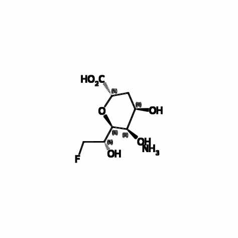 N.O=C(O)[C@@H]1C[C@@H](O)[C@@H](O)[C@@H]([C@H](O)CF)O1